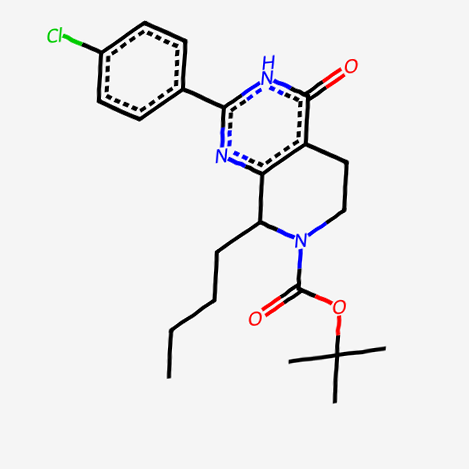 CCCCC1c2nc(-c3ccc(Cl)cc3)[nH]c(=O)c2CCN1C(=O)OC(C)(C)C